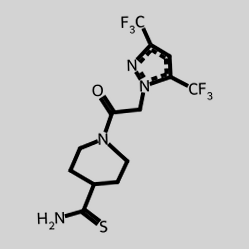 NC(=S)C1CCN(C(=O)Cn2nc(C(F)(F)F)cc2C(F)(F)F)CC1